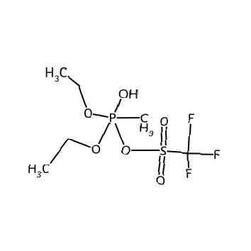 CCOP(C)(O)(OCC)OS(=O)(=O)C(F)(F)F